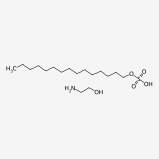 CCCCCCCCCCCCCCCOS(=O)(=O)O.NCCO